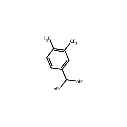 CCCC(CCC)c1ccc(C(F)(F)F)c(C(F)(F)F)c1